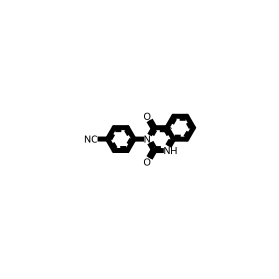 N#Cc1ccc(-n2c(=O)[nH]c3ccccc3c2=O)cc1